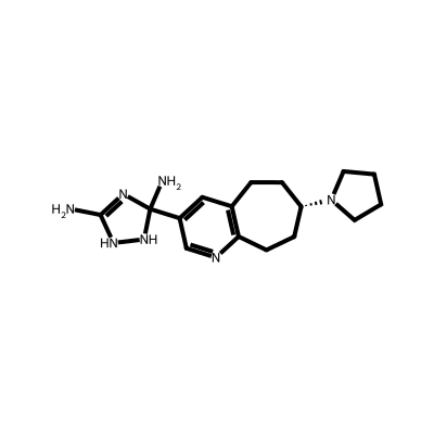 NC1=NC(N)(c2cnc3c(c2)CC[C@H](N2CCCC2)CC3)NN1